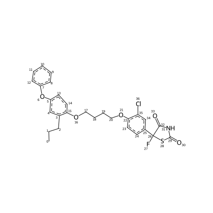 CCCc1cc(Oc2ccccc2)ccc1OCCCCOc1ccc(C2(F)SC(=O)NC2=O)cc1Cl